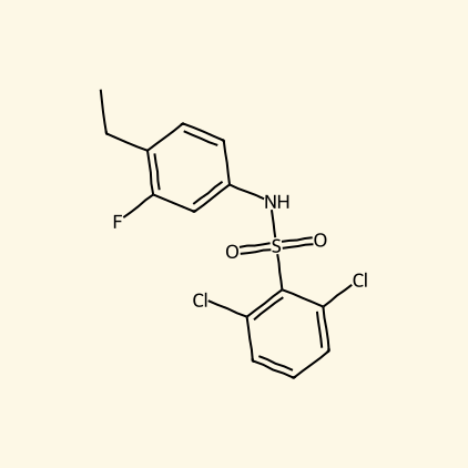 CCc1ccc(NS(=O)(=O)c2c(Cl)cccc2Cl)cc1F